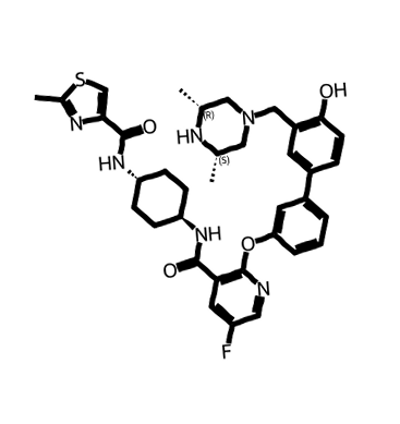 Cc1nc(C(=O)N[C@H]2CC[C@H](NC(=O)c3cc(F)cnc3Oc3cccc(-c4ccc(O)c(CN5C[C@@H](C)N[C@@H](C)C5)c4)c3)CC2)cs1